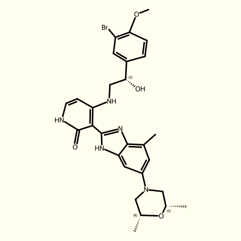 COc1ccc([C@H](O)CNc2cc[nH]c(=O)c2-c2nc3c(C)cc(N4C[C@@H](C)O[C@@H](C)C4)cc3[nH]2)cc1Br